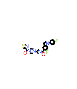 O=C(c1cscn1)N1CCN(C2CN(C(=O)c3cc4ccn(-c5ccc(F)cc5)c4cc3F)C2)CC1